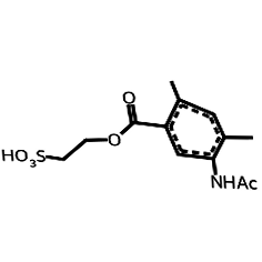 CC(=O)Nc1cc(C(=O)OCCS(=O)(=O)O)c(C)cc1C